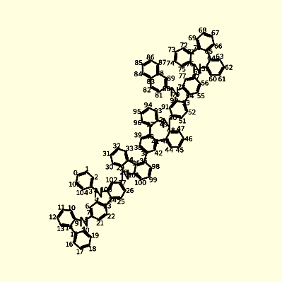 c1ccc(-n2c3cc(-n4c5ccccc5c5ccccc54)ccc3c3ccc(-n4c5ccccc5c5c(-c6ccc7c(c6)-c6ccccc6N(c6ccc8c9ccc(N%10c%11ccccc%11-c%11ccccc%11-c%11ccccc%11%10)cc9n(-c9ccc%10ccccc%10c9)c8c6)c6ccccc6-7)cccc54)cc32)cc1